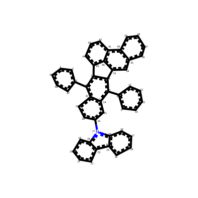 c1ccc(-c2c3c(c(-c4ccccc4)c4cc(-n5c6ccccc6c6ccccc65)ccc24)-c2cc4ccccc4c4cccc-3c24)cc1